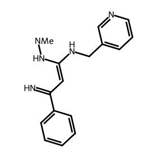 CNN/C(=C\C(=N)c1ccccc1)NCc1cccnc1